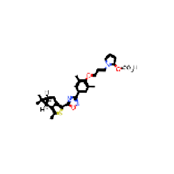 Cc1cc(-c2noc(-c3sc(C)c4c3C[C@@H]3[C@H]4C3(C)C)n2)cc(C)c1OCCCN1CCCC1OC(=O)O